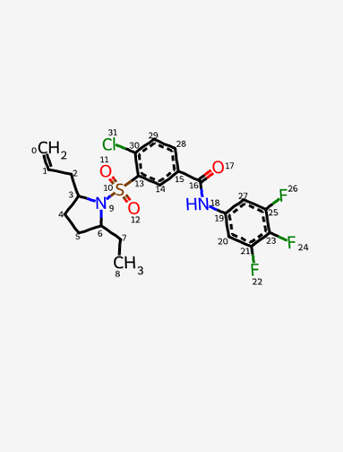 C=CCC1CCC(CC)N1S(=O)(=O)c1cc(C(=O)Nc2cc(F)c(F)c(F)c2)ccc1Cl